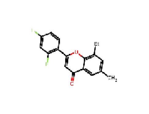 CCc1cc(C)cc2c(=O)cc(-c3ccc(F)cc3F)oc12